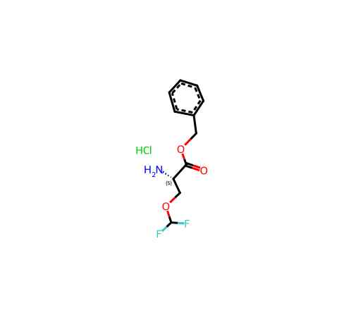 Cl.N[C@@H](COC(F)F)C(=O)OCc1ccccc1